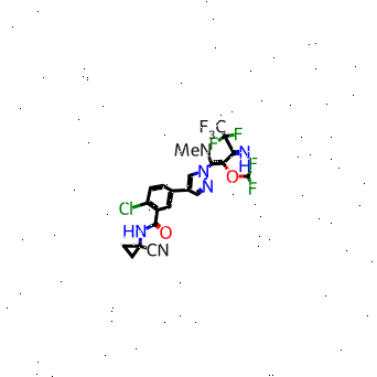 CN/C(=C(/OC(F)F)C(=N)C(F)(F)C(F)(F)F)n1cc(-c2ccc(Cl)c(C(=O)NC3(C#N)CC3)c2)cn1